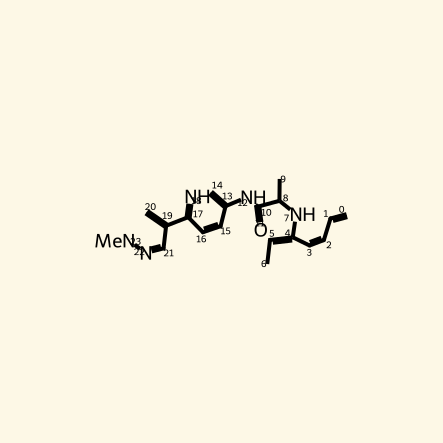 C=C/C=C\C(=C/C)NC(C)C(=O)NC(=C)/C=C\C(=N)C(=C)/C=N\NC